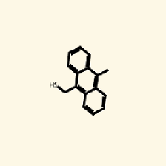 Cc1c2ccccc2c(CS)c2ccccc12